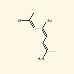 CC/C(C)=C/C(=C\N=C(/C)N)C(C)(C)C